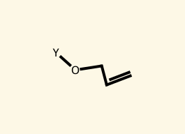 C=CC[O][Y]